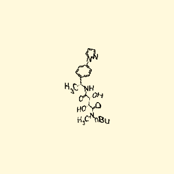 CCCCN(C)C(=O)[C@H](O)[C@@H](O)C(=O)N[C@H](C)c1ccc(-n2cccn2)cc1